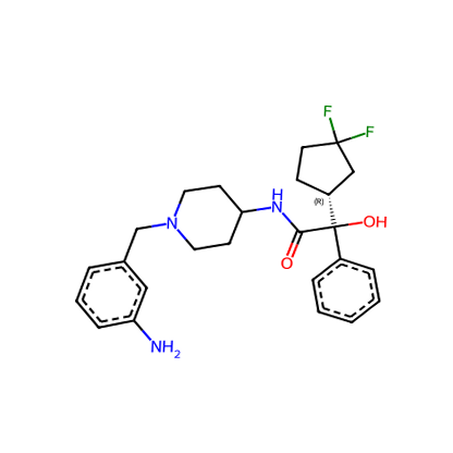 Nc1cccc(CN2CCC(NC(=O)C(O)(c3ccccc3)[C@@H]3CCC(F)(F)C3)CC2)c1